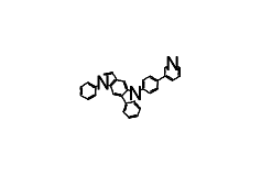 c1ccc(-n2ccc3cc4c(cc32)c2ccccc2n4-c2ccc(-c3cccnc3)cc2)cc1